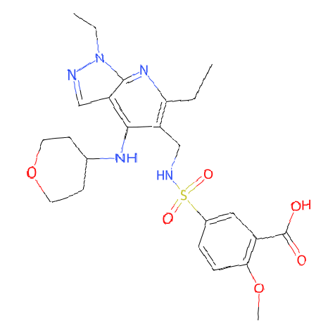 CCc1nc2c(cnn2CC)c(NC2CCOCC2)c1CNS(=O)(=O)c1ccc(OC)c(C(=O)O)c1